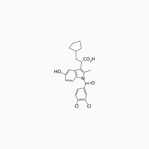 Cc1c([C@H](CC2CCCC2)C(=O)O)c2cc(O)ccc2n1C(=O)c1ccc(Cl)c(Cl)c1